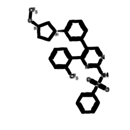 O=S(=O)(Nc1ncc(-c2cccc([C@@H]3CC[C@@H](OC(F)(F)F)C3)c2)c(-c2ccccc2C(F)(F)F)n1)c1ccccc1